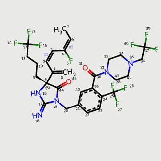 C=C(/C=C\C(F)=C/C)[C@@]1(CCCC(F)(F)F)NC(=N)N(Cc2ccc(C(F)(F)F)c(C(=O)N3CCN(CC(F)(F)F)CC3)c2)C1=O